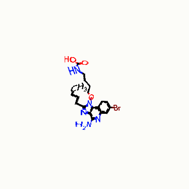 CCCCc1nc2c(N)nc3cc(Br)ccc3c2n1OCCCCNC(=O)O